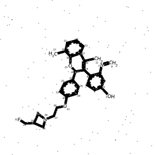 C=Nc1cc(O)ccc1C1=C(C)c2cccc(C)c2OC1c1ccc(OCCN2CC(CF)C2)cc1